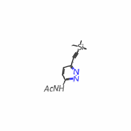 CC(=O)Nc1ccc(C#C[Si](C)(C)C)nn1